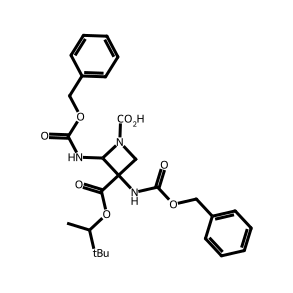 CC(OC(=O)C1(NC(=O)OCc2ccccc2)CN(C(=O)O)C1NC(=O)OCc1ccccc1)C(C)(C)C